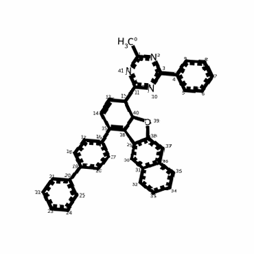 Cc1nc(-c2ccccc2)nc(C2C=CC(c3ccc(-c4ccccc4)cc3)=C3c4cc5ccccc5cc4OC32)n1